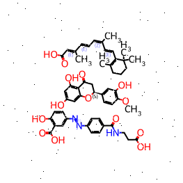 CC1=C(/C=C/C(C)=C\C=C\C(C)=C\C(=O)O)C(C)(C)CCC1.COc1ccc([C@@H]2CC(=O)c3c(O)cc(O)cc3O2)cc1O.O=C(O)CCNC(=O)c1ccc(/N=N/c2ccc(O)c(C(=O)O)c2)cc1